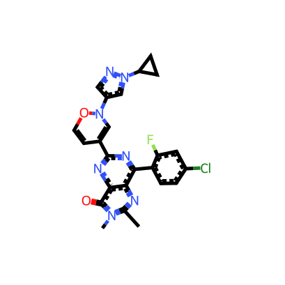 Cc1nc2c(-c3ccc(Cl)cc3F)nc(C3=CN(c4cnn(C5CC5)c4)OC=C3)nc2c(=O)n1C